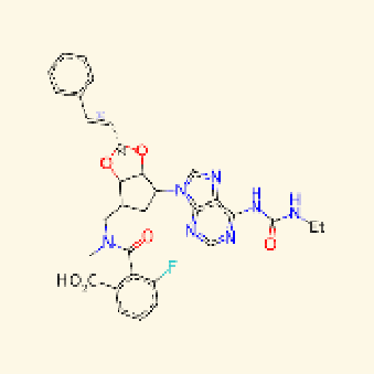 CCNC(=O)Nc1ncnc2c1ncn2C1CC(CN(C)C(=O)c2c(F)cccc2C(=O)O)C2O[C@H](/C=C/c3ccccc3)OC21